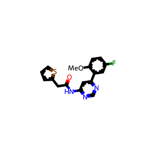 COc1ccc(F)cc1-c1cc(NC(=O)Cc2cccs2)ncn1